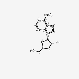 OC[C@@H]1C[C@@H](F)[C@H](n2cnc3c(NC(F)(F)F)ncnc32)O1